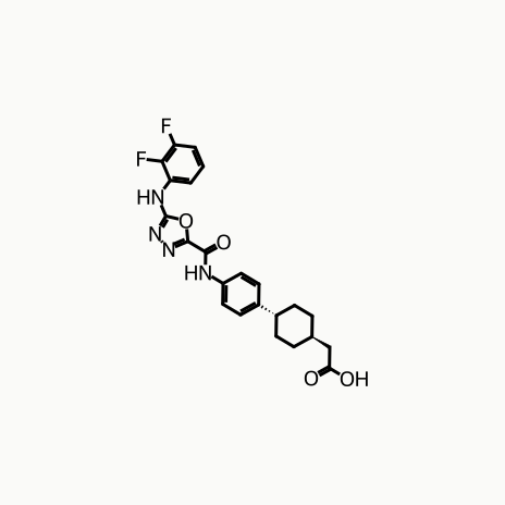 O=C(O)C[C@H]1CC[C@H](c2ccc(NC(=O)c3nnc(Nc4cccc(F)c4F)o3)cc2)CC1